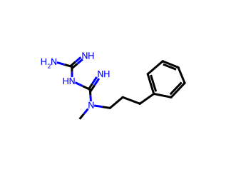 CN(CCCc1ccccc1)C(=N)NC(=N)N